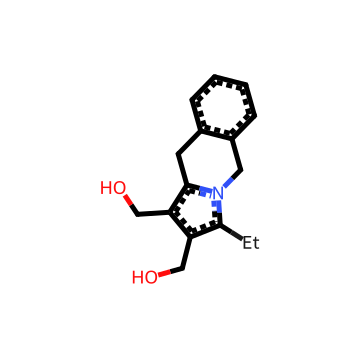 CCc1c(CO)c(CO)c2n1Cc1ccccc1C2